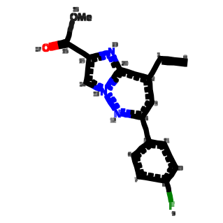 C=Cc1cc(-c2ccc(F)cc2)nn2cc(C(=O)OC)nc12